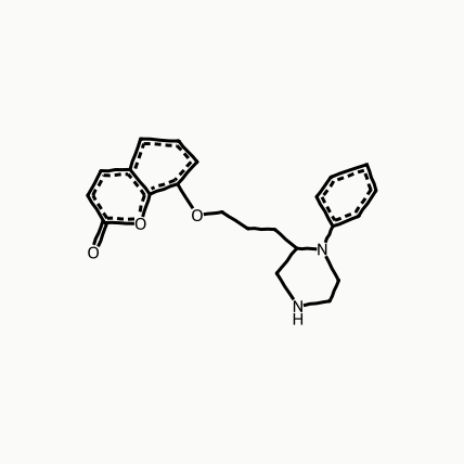 O=c1ccc2cccc(OCCCC3CNCCN3c3ccccc3)c2o1